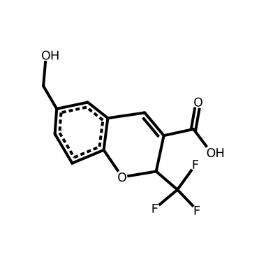 O=C(O)C1=Cc2cc(CO)ccc2OC1C(F)(F)F